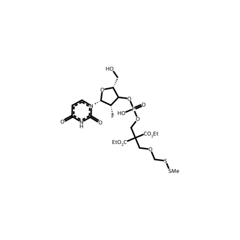 CCOC(=O)C(COCSSC)(COP(=O)(O)OC1[C@@H](CO)O[C@@H](n2ccc(=O)[nH]c2=O)[C@H]1F)C(=O)OCC